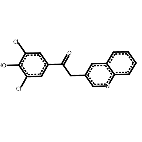 O=C(Cc1cnc2ccccc2c1)c1cc(Cl)c(O)c(Cl)c1